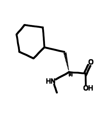 CN[C@H](CC1CCCCC1)C(=O)O